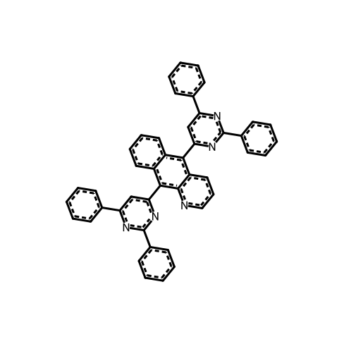 c1ccc(-c2cc(-c3c4ccccc4c(-c4cc(-c5ccccc5)nc(-c5ccccc5)n4)c4ncccc34)nc(-c3ccccc3)n2)cc1